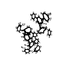 c1ccc(-c2ccc(-c3cc(-c4nc(-c5ccccc5)nc(-c5cc(-c6ccccc6)cc(-c6ccccc6)c5)n4)cc(-c4ccc(-c5ccccc5)cc4)c3-n3c4ccccc4c4cc(-c5ccccc5)ccc43)cc2)cc1